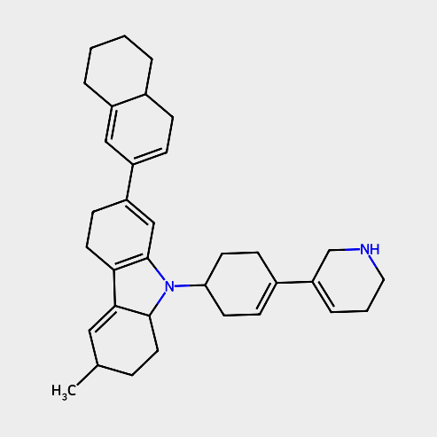 CC1C=C2C3=C(C=C(C4=CCC5CCCCC5=C4)CC3)N(C3CC=C(C4=CCCNC4)CC3)C2CC1